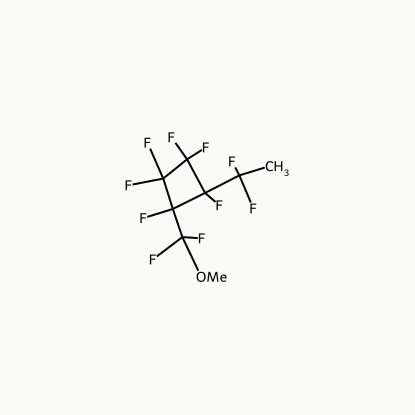 COC(F)(F)C1(F)C(F)(F)C(F)(F)C1(F)C(C)(F)F